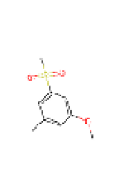 COc1cc(C)cc(S(C)(=O)=O)c1